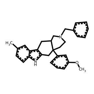 COc1cccc(C23CCN(Cc4ccccc4)CC2Cc2c([nH]c4ccc(C)cc24)C3)c1